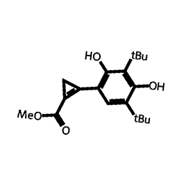 COC(=O)C1=C(c2cc(C(C)(C)C)c(O)c(C(C)(C)C)c2O)C1